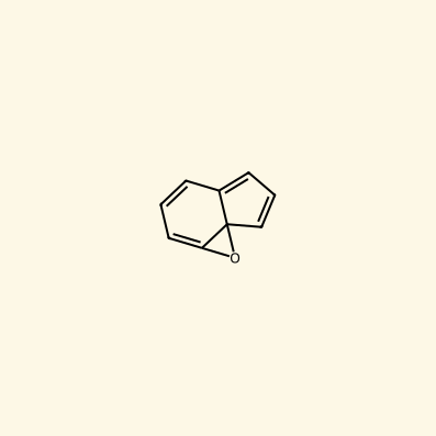 C1=CC2=CC=CC23OC3=C1